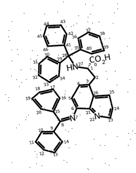 O=C(O)[C@H](Cc1ccc(N=C(c2ccccc2)c2ccccc2)c2ncccc12)NC(c1ccccc1)(c1ccccc1)c1ccccc1